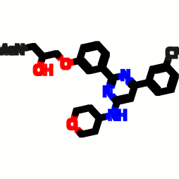 CNCC(O)COc1cccc(-c2nc(NC3CCOCC3)cc(-c3cccc(C#N)c3)n2)c1